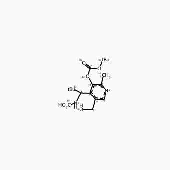 Cc1ncc(CO)c(C(NC(=O)O)C(C)(C)C)c1OC(=O)OC(C)(C)C